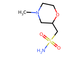 CN1CCOC(CS(N)(=O)=O)C1